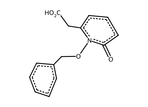 O=C(O)Cc1cccc(=O)n1OCc1ccccc1